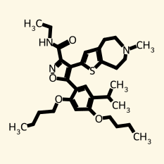 CCCCOc1cc(OCCCC)c(C(C)C)cc1-c1onc(C(=O)NCC)c1-c1cc2c(s1)CCN(C)CC2